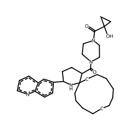 O=C(C1CCC(c2ccc3ncccc3c2)NC12CCCCCCCCCCC2)N1CCN(C(=O)C2(O)CC2)CC1